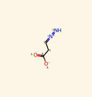 N=[N+]=CCC(=O)[O-]